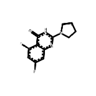 O=c1[nH]c(N2CCCC2)nc2cc(F)cc(F)c12